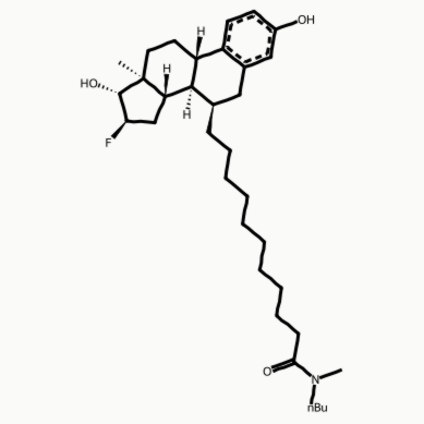 CCCCN(C)C(=O)CCCCCCCCCC[C@@H]1Cc2cc(O)ccc2[C@H]2CC[C@]3(C)[C@@H](O)[C@H](F)C[C@H]3[C@H]12